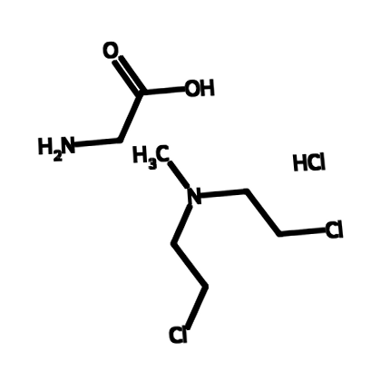 CN(CCCl)CCCl.Cl.NCC(=O)O